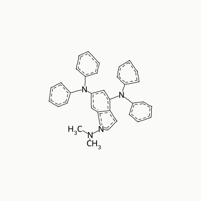 CN(C)n1ccc2c(N(c3ccccc3)c3ccccc3)cc(N(c3ccccc3)c3ccccc3)cc21